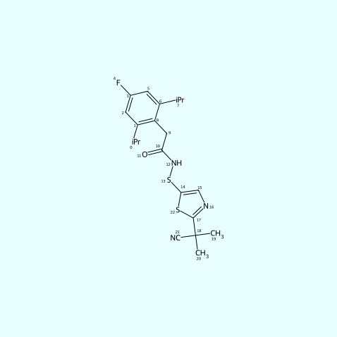 CC(C)c1cc(F)cc(C(C)C)c1CC(=O)NSc1cnc(C(C)(C)C#N)s1